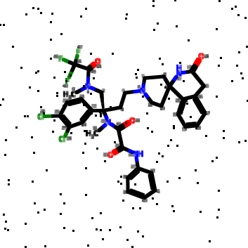 CN(C[C@](CCN1CCC2(CC1)NC(=O)Cc1ccccc12)(c1ccc(Cl)c(Cl)c1)N(C)C(=O)C(=O)Nc1ccccc1)C(=O)C(F)(F)F